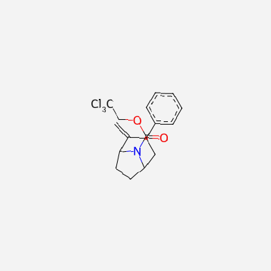 C=C1C(c2ccccc2)CC2CCC1N2C(=O)OCC(Cl)(Cl)Cl